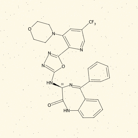 O=C1Nc2ccccc2C(c2ccccc2)=N[C@@H]1Nc1nnc(-c2ncc(C(F)(F)F)cc2N2CCOCC2)o1